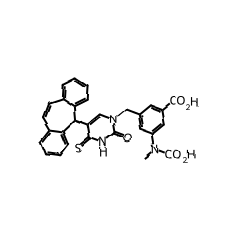 CN(C(=O)O)c1cc(Cn2cc(C3c4ccccc4C=Cc4ccccc43)c(=S)[nH]c2=O)cc(C(=O)O)c1